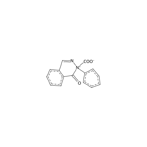 O=C([O-])[N+]1(c2ccccc2)N=Cc2ccccc2C1=O